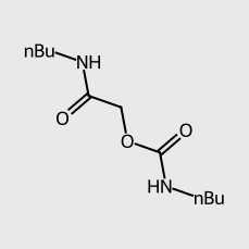 CCCCNC(=O)COC(=O)NCCCC